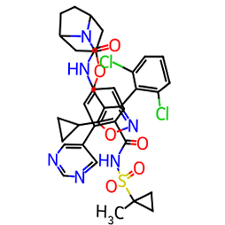 CC1(S(=O)(=O)NC(=O)c2ccc(NC(=O)N3C4CCC3CC(OCc3c(-c5c(Cl)cccc5Cl)noc3C3CC3)C4)cc2-c2cncnc2)CC1